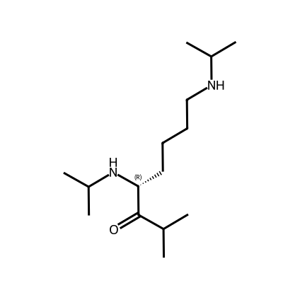 CC(C)NCCCC[C@@H](NC(C)C)C(=O)C(C)C